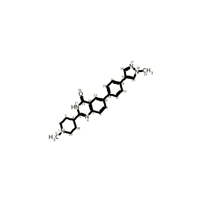 CN1CCC(c2nc3ccc(-c4ccc(-c5cnn(C)c5)cc4)cc3c(=O)[nH]2)CC1